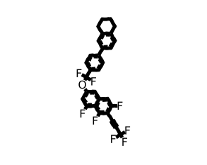 Fc1cc2cc(OC(F)(F)c3ccc(-c4ccc5c(c4)CCCC5)cc3)cc(F)c2c(F)c1C#CC(F)(F)F